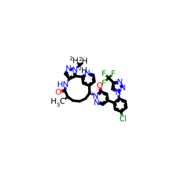 [2H]C([2H])([2H])n1ncc2c1-c1cc(ccn1)[C@@H](n1ncc(-c3cc(Cl)ccc3-n3cc(C(F)(F)F)nn3)cc1=O)CCC[C@@H](C)C(=O)N2